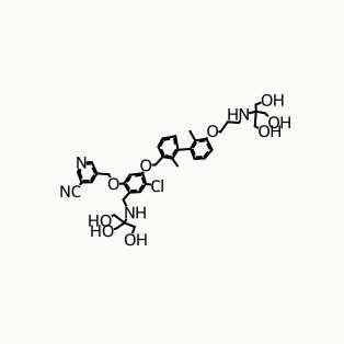 Cc1c(COc2cc(OCc3cncc(C#N)c3)c(CNC(CO)(CO)CO)cc2Cl)cccc1-c1cccc(OCCCNC(CO)(CO)CO)c1C